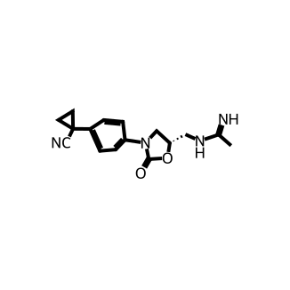 CC(=N)NC[C@H]1CN(c2ccc(C3(C#N)CC3)cc2)C(=O)O1